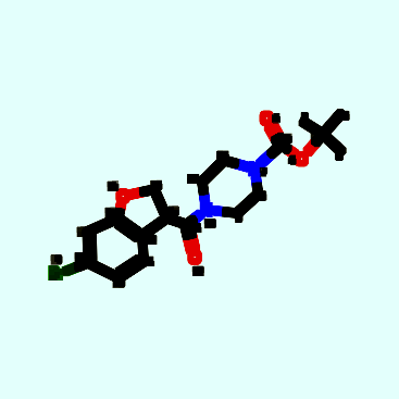 CC(C)(C)OC(=O)N1CCN(C(=O)C2COc3cc(Br)ccc32)CC1